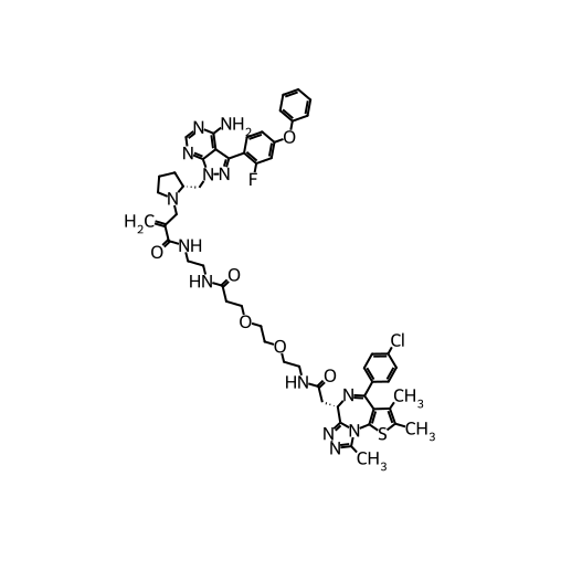 C=C(CN1CCC[C@@H]1Cn1nc(-c2ccc(Oc3ccccc3)cc2F)c2c(N)ncnc21)C(=O)NCCNC(=O)CCOCCOCCNC(=O)C[C@@H]1N=C(c2ccc(Cl)cc2)c2c(sc(C)c2C)-n2c(C)nnc21